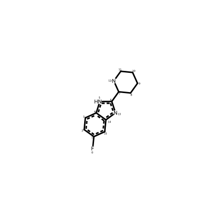 Fc1ccc2[nH]c(C3CCCC[N]3)nc2c1